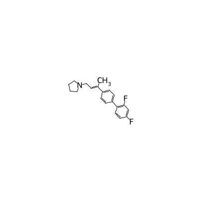 CC(=CCN1CCCC1)c1ccc(-c2ccc(F)cc2F)cc1